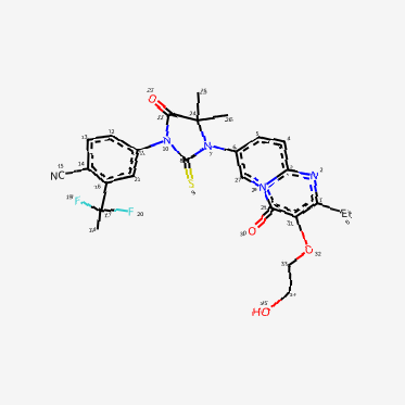 CCc1nc2ccc(N3C(=S)N(c4ccc(C#N)c(C(C)(F)F)c4)C(=O)C3(C)C)cn2c(=O)c1OCCO